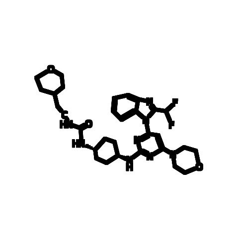 O=C(NCCC1CCOCC1)N[C@H]1CC[C@H](Nc2nc(N3CCOCC3)cc(-n3c(C(F)F)nc4ccccc43)n2)CC1